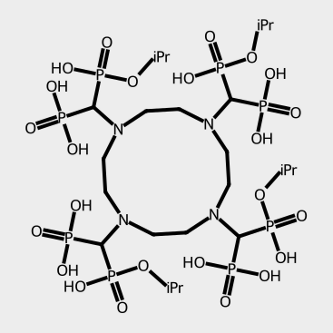 CC(C)OP(=O)(O)C(N1CCN(C(P(=O)(O)O)P(=O)(O)OC(C)C)CCN(C(P(=O)(O)O)P(=O)(O)OC(C)C)CCN(C(P(=O)(O)O)P(=O)(O)OC(C)C)CC1)P(=O)(O)O